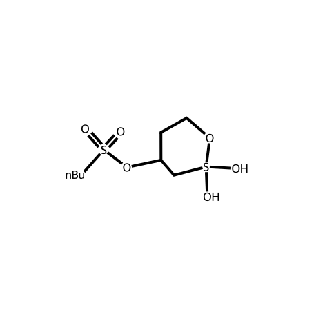 CCCCS(=O)(=O)OC1CCOS(O)(O)C1